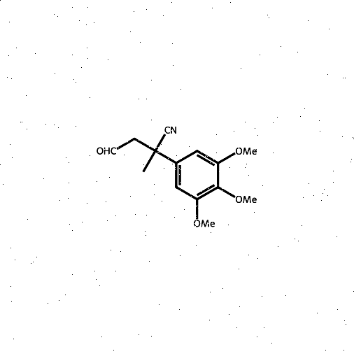 COc1cc(C(C)(C#N)CC=O)cc(OC)c1OC